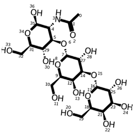 CC(=O)N[C@@H]1[C@@H](O[C@H]2O[C@H](CO)[C@H](O)[C@H](O[C@H]3O[C@H](CO)[C@H](O)[C@H](O)[C@H]3O)[C@H]2O)[C@H](O)[C@@H](CO)O[C@H]1O